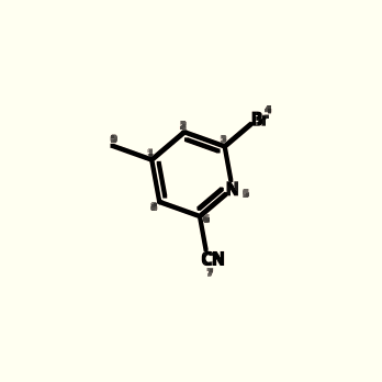 Cc1cc(Br)nc(C#N)c1